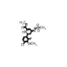 COC(=O)C1=C/C(=N\OS(C)(=O)=O)CC(c2ccc(Cl)c(OC)c2F)N1